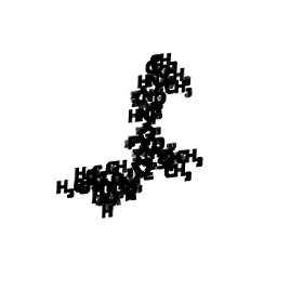 COC(=O)NC(C(=O)N1CCC[C@H]1c1ncc(-c2cc(F)c3c(c2)OC(c2cc(C)c(C)s2)n2c-3cc3cc(-c4cnc([C@@H]5C[C@H]6C[C@H]6N5C(=O)[C@@H](NC(=O)OC)C(C)C)[nH]4)ccc32)[nH]1)C(C)C